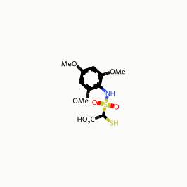 COc1cc(OC)c(NS(=O)(=O)C(S)C(=O)O)c(OC)c1